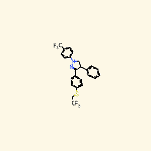 FC(F)(F)CSc1ccc(C2=NN(c3ccc(C(F)(F)F)cc3)CC2c2ccccc2)cc1